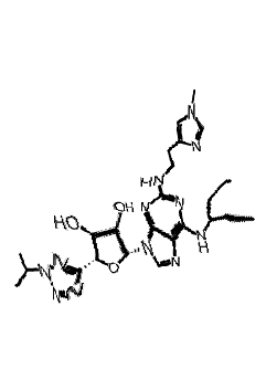 CCC(CC)Nc1nc(NCCc2cn(C)cn2)nc2c1ncn2[C@@H]1O[C@H](c2nnn(C(C)C)n2)[C@@H](O)[C@H]1O